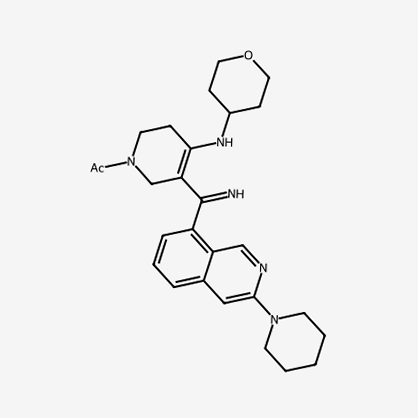 CC(=O)N1CCC(NC2CCOCC2)=C(C(=N)c2cccc3cc(N4CCCCC4)ncc23)C1